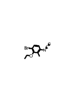 CCOc1c(Br)ccc(N=C=O)c1C